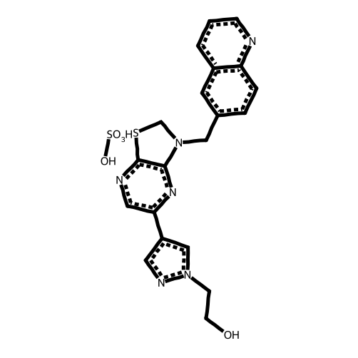 O=S(=O)(O)O.OCCn1cc(-c2cnc3c(n2)N(Cc2ccc4ncccc4c2)CS3)cn1